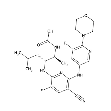 CC(C)C[C@@H](Nc1nc(Nc2cnc(N3CCOCC3)c(F)c2)c(C#N)cc1F)[C@H](C)NC(=O)O